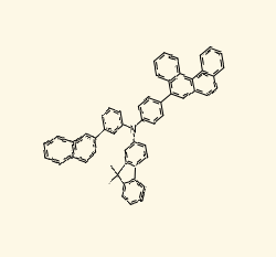 CC1(C)c2ccccc2-c2ccc(N(c3ccc(-c4cc5ccc6ccccc6c5c5ccccc45)cc3)c3cccc(-c4ccc5ccccc5c4)c3)cc21